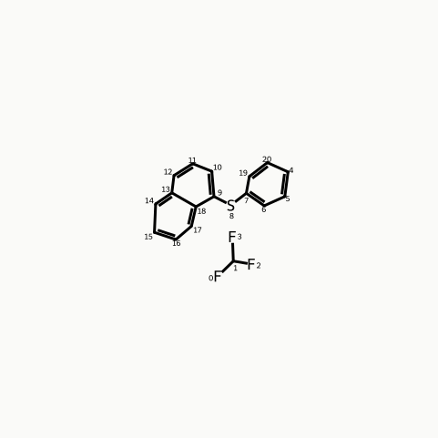 FC(F)F.c1ccc(Sc2cccc3ccccc23)cc1